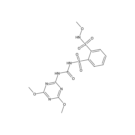 CONS(=O)(=O)c1ccccc1S(=O)(=O)NC(=O)Nc1nc(OC)nc(OC)n1